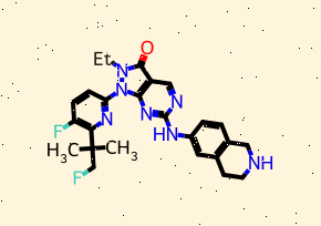 CCn1c(=O)c2cnc(Nc3ccc4c(c3)CCNC4)nc2n1-c1ccc(F)c(C(C)(C)CF)n1